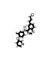 Cc1cc(Nc2ncnc3ccc(/C=C/CCl)cc23)ccc1Oc1cccnc1